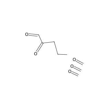 C=O.C=O.C=O.CCCC(=O)C=O